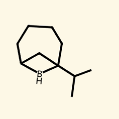 CC(C)C12BC(CCCC1)C2